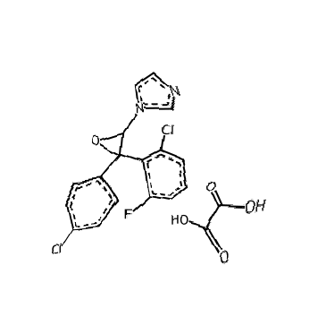 Fc1cccc(Cl)c1C1(c2ccc(Cl)cc2)OC1n1ccnc1.O=C(O)C(=O)O